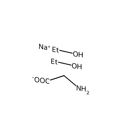 CCO.CCO.NCC(=O)[O-].[Na+]